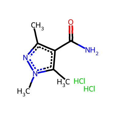 Cc1nn(C)c(C)c1C(N)=O.Cl.Cl